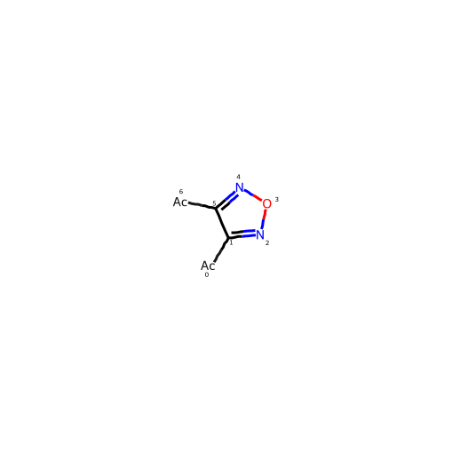 CC(=O)c1nonc1C(C)=O